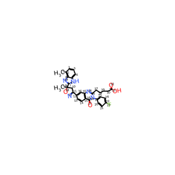 Cc1cccc2[nH]c([C@]3(C)CC(c4ccc5c(=O)n(-c6ccc(F)cc6)c(CCCCC(=O)O)nc5c4)=NO3)nc12